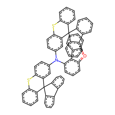 c1ccc2c(c1)Sc1ccc(N(c3ccc4c(c3)C3(c5ccccc5S4)c4ccccc4-c4ccccc43)c3cccc4oc5ccccc5c34)cc1C21c2ccccc2-c2ccccc21